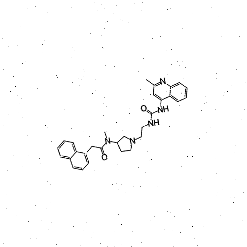 Cc1cc(NC(=O)NCCN2CCC(N(C)C(=O)Cc3cccc4ccccc34)C2)c2ccccc2n1